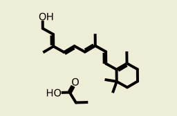 CC(C=CC1=C(C)CCCC1(C)C)=CC=CC(C)=CCO.CCC(=O)O